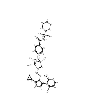 C[C@H]1[C@H]2C[C@H](C[C@@H]2OCc2c(-c3c(Cl)cccc3Cl)noc2C2CC2)N1c1ccc(C(=O)NS(=O)(=O)C2CCOCC2)cn1